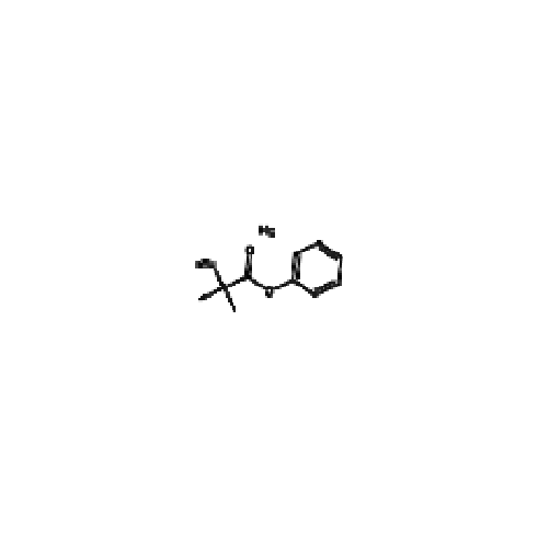 CCCCC(C)(C)C(=O)Oc1ccccc1.[Hg]